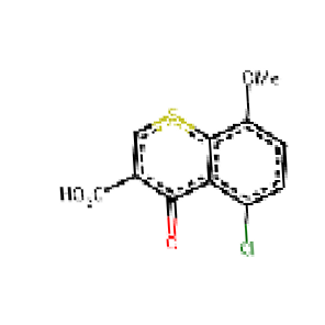 COc1ccc(Cl)c2c(=O)c(C(=O)O)csc12